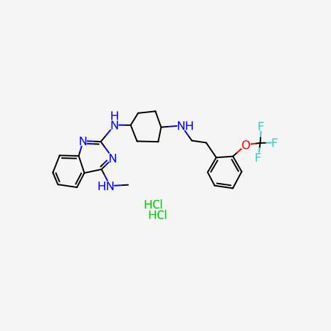 CNc1nc(NC2CCC(NCCc3ccccc3OC(F)(F)F)CC2)nc2ccccc12.Cl.Cl